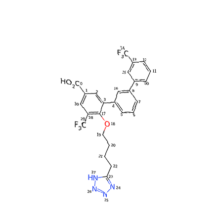 O=C(O)c1cc(-c2cccc(-c3cccc(C(F)(F)F)c3)c2)c(OCCCCc2nnn[nH]2)c(C(F)(F)F)c1